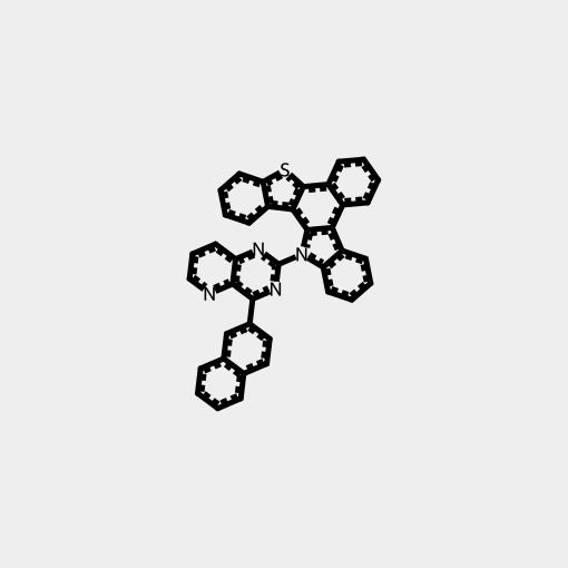 c1ccc2cc(-c3nc(-n4c5ccccc5c5c6ccccc6c6sc7ccccc7c6c54)nc4cccnc34)ccc2c1